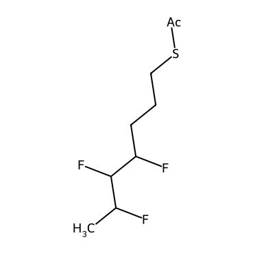 CC(=O)SCCCC(F)C(F)C(C)F